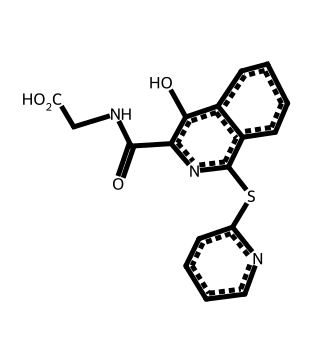 O=C(O)CNC(=O)c1nc(Sc2ccccn2)c2ccccc2c1O